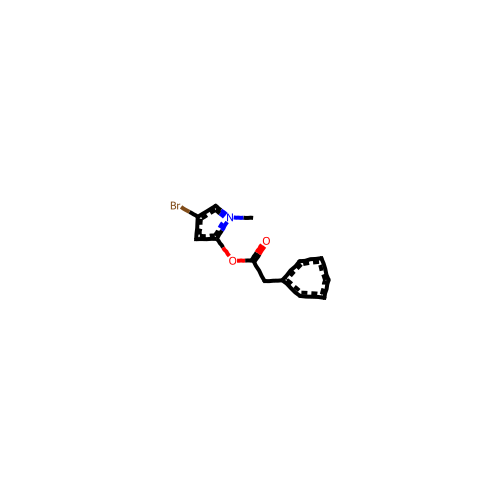 Cn1cc(Br)cc1OC(=O)Cc1ccccc1